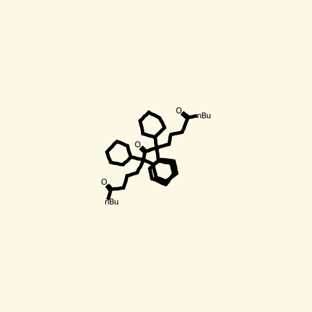 CCCCC(=O)CCCC(C(=O)C(CCCC(=O)CCCC)(C1CCCCC1)C1CCCCC1)(C1CCCCC1)C1CCCCC1